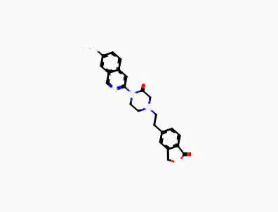 CNc1ccc2cc(N3CCN(CCc4ccc5c(c4)COC5=O)CC3=O)ncc2c1